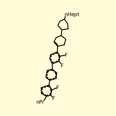 CCCCCCCC1CCC(C2CC=C(c3ccc(-c4ccc(-c5ccc(CCC)c(F)c5F)cc4)c(F)c3F)CC2)CC1